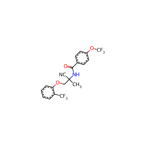 CC(C#N)(COc1ccccc1C(F)(F)F)NC(=O)c1ccc(OC(F)(F)F)cc1